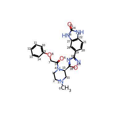 CN1CCN(C(=O)COc2ccccc2)[C@@H](c2nc(-c3ccc4[nH]c(=O)[nH]c4c3)no2)C1